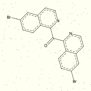 O=C(c1nccc2cc(Br)ccc12)c1nccc2cc(Br)ccc12